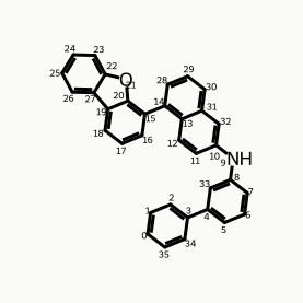 c1ccc(-c2cccc(Nc3ccc4c(-c5cccc6c5oc5ccccc56)cccc4c3)c2)cc1